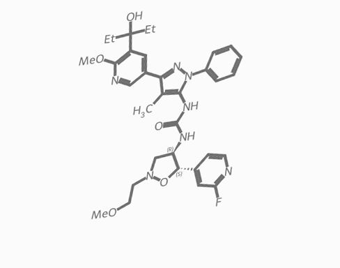 CCC(O)(CC)c1cc(-c2nn(-c3ccccc3)c(NC(=O)N[C@@H]3CN(CCOC)O[C@H]3c3ccnc(F)c3)c2C)cnc1OC